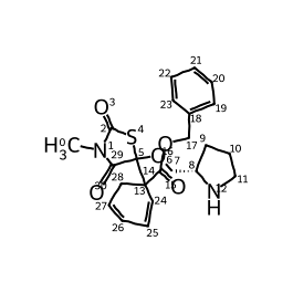 CN1C(=O)SC(OC[C@@H]2CCCN2)(C2(C(=O)OCc3ccccc3)C=CC=CC2)C1=O